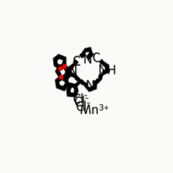 C1=Cc2cc3c(-c4ccccc4)c(-c4ccccc4)c(c(-c4ccccc4)c4nc(cc5ccc(cc1n2)[nH]5)C=C4)n3-c1ccccc1.[Cl-].[Cl-].[Cl-].[Mn+3]